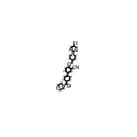 CCc1cnc(N2CCC(COc3ccc(C4=CCC(C(=O)N5CCOCC5)CC4)cc3C#N)CC2)nc1